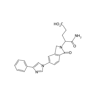 NC(=O)C(CCC(=O)O)N1Cc2cc(-n3cnc(-c4ccccc4)c3)ccc2C1=O